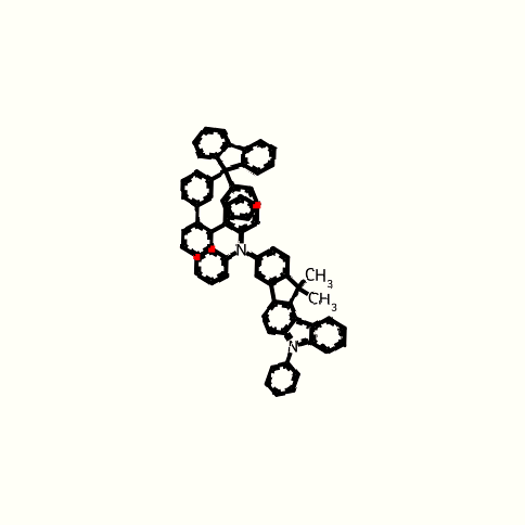 CC1(C)c2ccc(N(c3ccccc3)c3ccccc3-c3ccccc3-c3cccc(C4(c5ccccc5)c5ccccc5-c5ccccc54)c3)cc2-c2ccc3c(c21)c1ccccc1n3-c1ccccc1